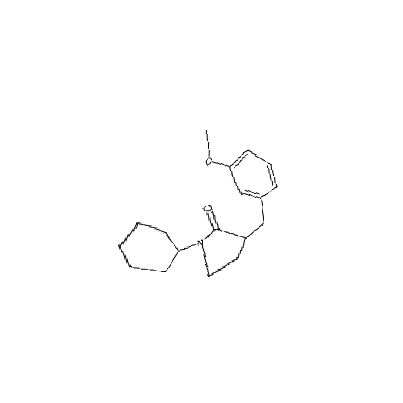 COc1cccc(CC2CCN(C3CCCCC3)C2=O)c1